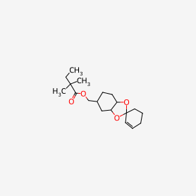 CCC(C)(C)C(=O)OCC1CCC2OC3(C=CCCC3)OC2C1